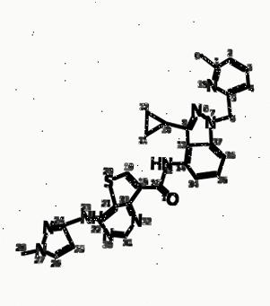 Cc1cccc(Cn2nc(C3CC3)c3c(NC(=O)c4csc5c(Nc6ccn(C)n6)ncnc45)cccc32)n1